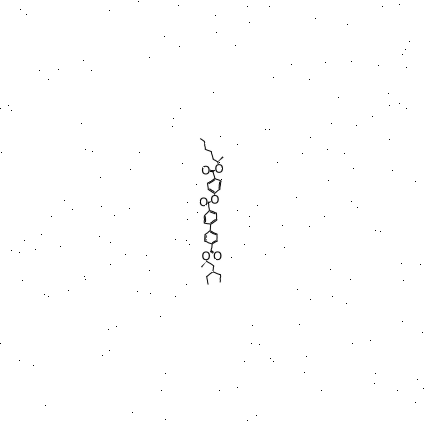 CCCCC[C@@H](C)OC(=O)c1ccc(OC(=O)c2ccc(-c3ccc(C(=O)O[C@H](C)CC(CC)CC)cc3)cc2)cc1